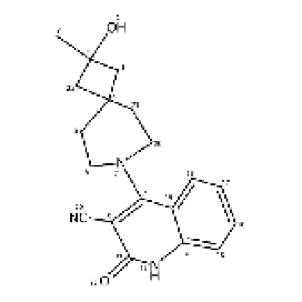 CC1(O)CC2(CCN(c3c(C#N)c(=O)[nH]c4ccccc34)CC2)C1